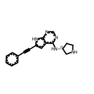 C(#Cc1cc2c(N[C@@H]3CCNC3)ncnc2[nH]1)c1ccccc1